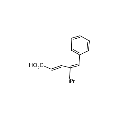 CC(C)C(C=CC(=O)O)=Cc1ccccc1